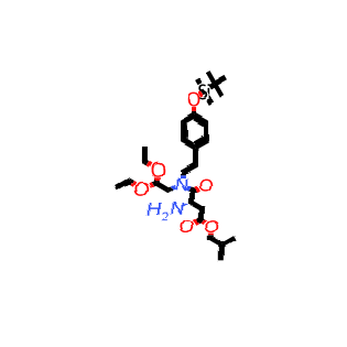 CCOC(CN(CCc1ccc(O[Si](C)(C)C(C)(C)C)cc1)C(=O)[C@@H](N)CC(=O)OCC(C)C)OCC